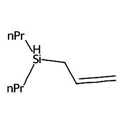 C=CC[SiH](CCC)CCC